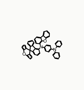 c1ccc(N(c2ccccc2)c2ccc(N(c3cccc4c3-c3ccccc3C43c4ccccc4Oc4ccccc43)c3cccc4c3oc3ccccc34)cc2)cc1